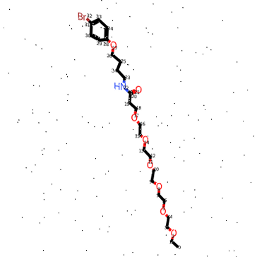 CCOCCOCCOCCOCCOCCOCCC(=O)NCCCCOc1ccc(Br)cc1